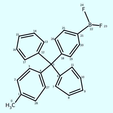 Cc1ccc(C(c2ccccc2)(c2ccccc2)c2ccc(B(F)F)cc2)cc1